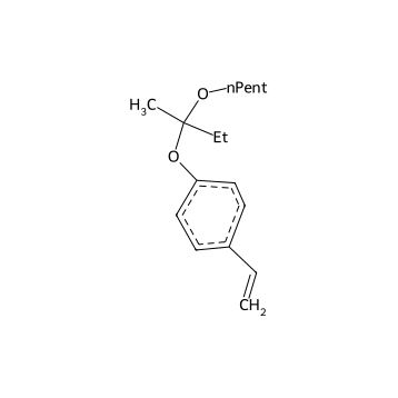 C=Cc1ccc(OC(C)(CC)OCCCCC)cc1